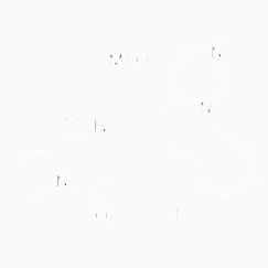 COc1cncnc1-c1ccc(C(=O)N2CCCC2C(=O)O)cc1-c1ccccc1Cl